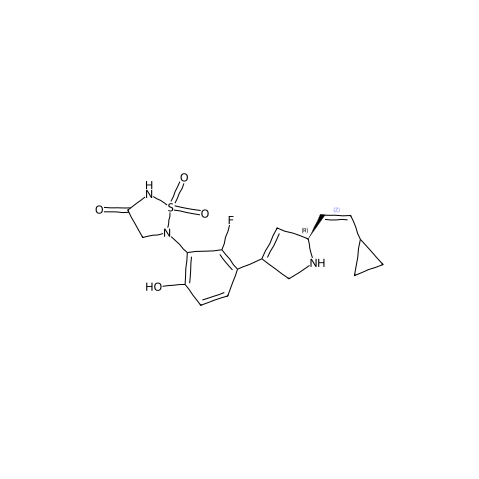 O=C1CN(c2c(O)ccc(C3=C[C@@H](/C=C\C4CC4)NC3)c2F)S(=O)(=O)N1